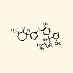 CCC1(c2cccc(Oc3cc([C@@](C)(NC(=O)NC(C)(C)C)c4cncn4C)ccc3C#N)c2)CCCCN(C)C1=O